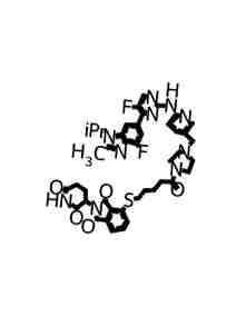 Cc1nc2c(F)cc(-c3nc(Nc4ccc(CN5CCN(C(=O)CCCCSc6cccc7c6C(=O)N(C6CCC(=O)NC6=O)C7=O)CC5)cn4)ncc3F)cc2n1C(C)C